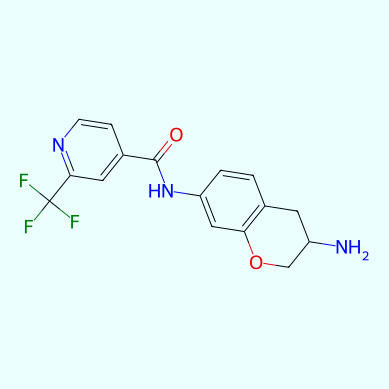 NC1COc2cc(NC(=O)c3ccnc(C(F)(F)F)c3)ccc2C1